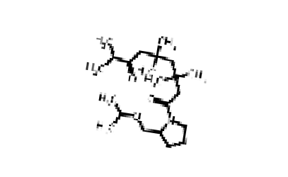 CC(C)OCC1CCCN1C(=O)CC(C)(C)CC(C)(C)CC(=O)C(C)C